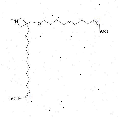 CCCCCCCC/C=C\CCCCCCCCOCC1(CSCCCCCCCC/C=C\CCCCCCCC)CN(C)C1